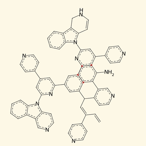 C=C/C(=C\C(c1cc(-c2cc(-c3ccncc3)cc(-n3c4c(c5ccccc53)CNC=C4)n2)cc(-c2cc(-c3ccncc3)cc(-n3c4ccccc4c4cnccc43)n2)c1)c1ccncc1-c1ccccc1N)c1ccncc1